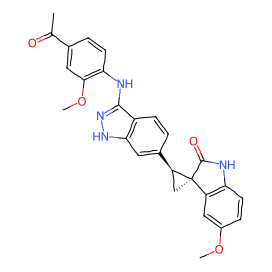 COc1ccc2c(c1)[C@]1(C[C@H]1c1ccc3c(Nc4ccc(C(C)=O)cc4OC)n[nH]c3c1)C(=O)N2